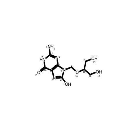 Nc1nc2c(nc(O)n2COC(CO)CO)c(=O)[nH]1